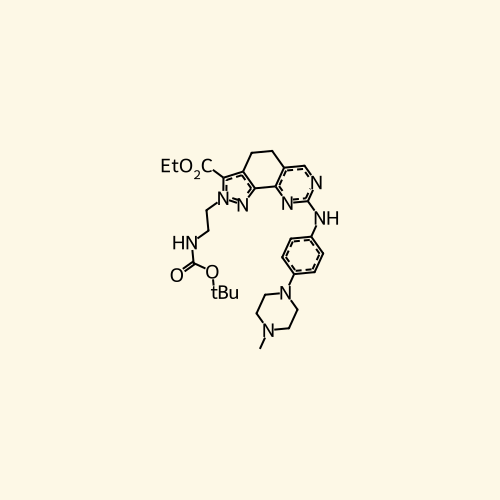 CCOC(=O)c1c2c(nn1CCNC(=O)OC(C)(C)C)-c1nc(Nc3ccc(N4CCN(C)CC4)cc3)ncc1CC2